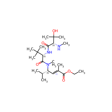 CCOC(=O)/C(C)=C/[C@H](C(C)C)N(C)C(=O)[C@@H](NC(=O)[C@@H](NC)C(C)(C)O)C(C)(C)C